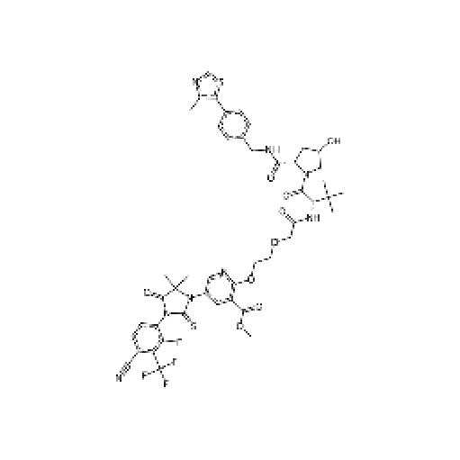 COC(=O)c1cc(N2C(=S)N(c3ccc(C#N)c(C(F)(F)F)c3F)C(=O)C2(C)C)cnc1OCCOCC(=O)N[C@H](C(=O)N1CC(O)C[C@H]1C(=O)NCc1ccc(-c2scnc2C)cc1)C(C)(C)C